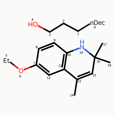 CCCCCCCCCCCCCO.CCOc1ccc2c(c1)C(C)=CC(C)(C)N2